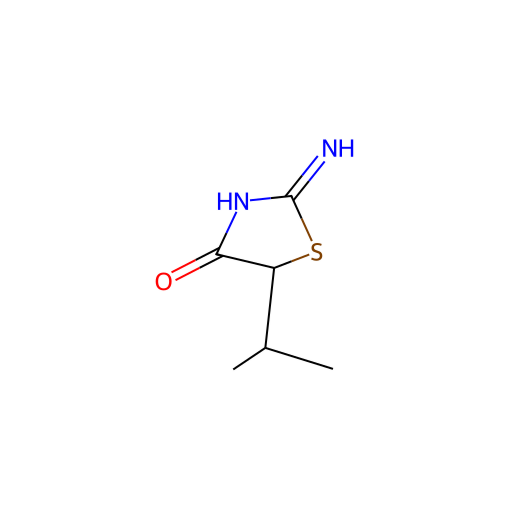 CC(C)C1SC(=N)NC1=O